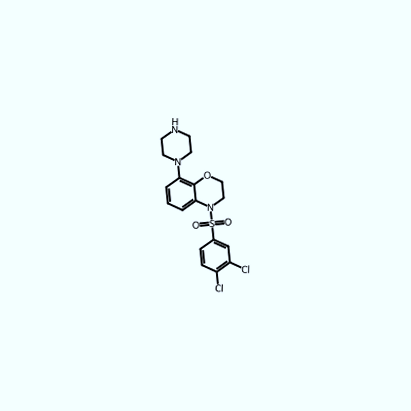 O=S(=O)(c1ccc(Cl)c(Cl)c1)N1CCOc2c(N3CCNCC3)cccc21